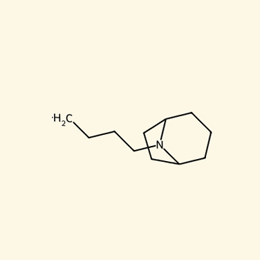 [CH2]CCCN1C2CCCC1CC2